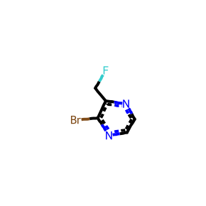 FCc1nccnc1Br